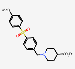 CCOC(=O)C1CCN(Cc2ccc(S(=O)(=O)c3ccc(OC)cc3)cc2)CC1